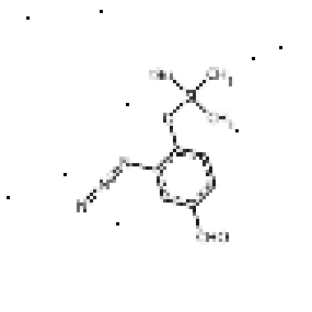 CC(C)(C)[Si](C)(C)Oc1ccc(C=O)cc1N=[N+]=[N-]